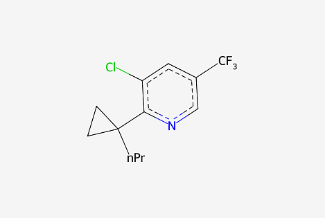 CCCC1(c2ncc(C(F)(F)F)cc2Cl)CC1